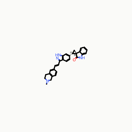 CN1CCc2cc(C=Cc3n[nH]c4cc([C@@H]5C[C@@]56C(=O)Nc5ccccc56)ccc34)ccc2C1